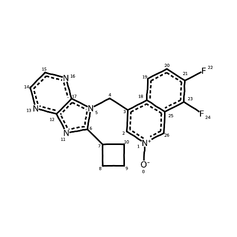 [O-][n+]1cc(Cn2c(C3CCC3)nc3nccnc32)c2ccc(F)c(F)c2c1